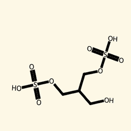 O=S(=O)(O)OCC(CO)COS(=O)(=O)O